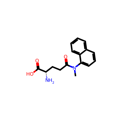 CN(C(=O)CC[C@H](N)C(=O)O)c1cccc2ccccc12